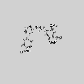 CCNc1ncc(-c2cc(NCCc3ccc(C(=O)NC)cc3OC)ncn2)cn1